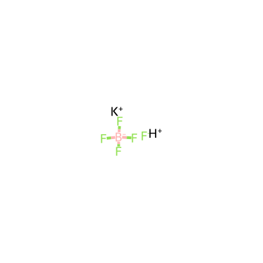 F[B-](F)(F)F.[F-].[H+].[K+]